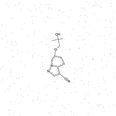 CC(C)(O)COc1ccc2c(C#N)cnn2c1